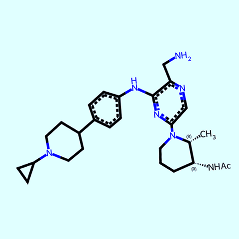 CC(=O)N[C@@H]1CCCN(c2cnc(CN)c(Nc3ccc(C4CCN(C5CC5)CC4)cc3)n2)[C@@H]1C